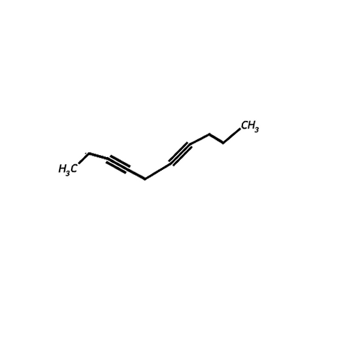 C[CH]C#CCC#CCCC